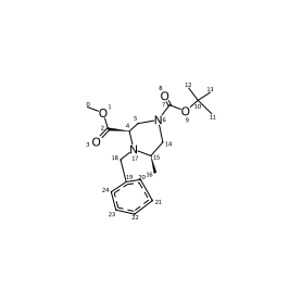 COC(=O)[C@H]1CN(C(=O)OC(C)(C)C)C[C@@H](C)N1Cc1ccccc1